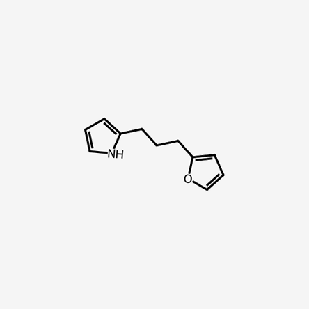 c1c[nH]c(CCCc2ccco2)c1